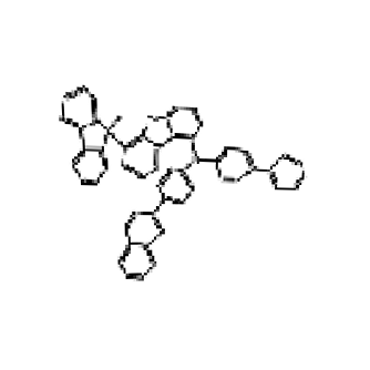 CC1(c2cccc3c2oc2cccc(N(c4ccc(-c5ccccc5)cc4)c4ccc(-c5ccc6ccccc6c5)cc4)c23)c2ccccc2-c2ccccc21